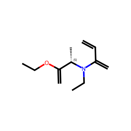 C=CC(=C)N(CC)[C@@H](C)C(=C)OCC